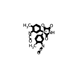 Cc1ccc([N+]2(c3ccc(C)c(N=C=O)c3)C(=O)NC(=O)C2=O)cc1N=C=O